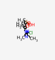 CCCc1nc(C)cc2c1c(Cl)nn2Cc1ccc(-c2c(S(=O)(=O)O)sc(C)c2C)c(C)c1